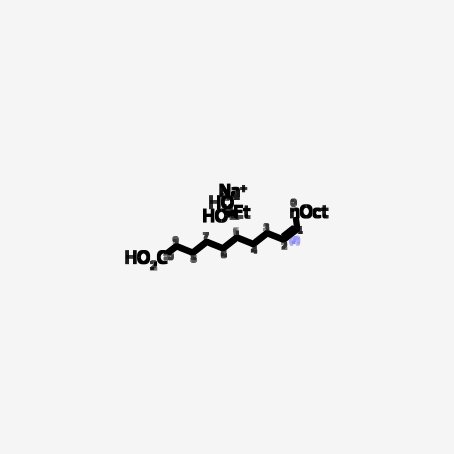 CCCCCCCC/C=C\CCCCCCCC(=O)O.CCO.[Na+].[OH-]